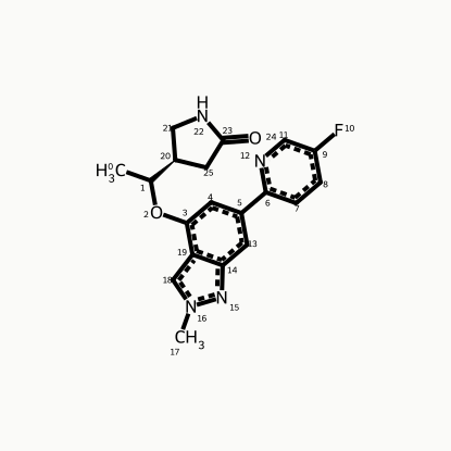 CC(Oc1cc(-c2ccc(F)cn2)cc2nn(C)cc12)[C@H]1CNC(=O)C1